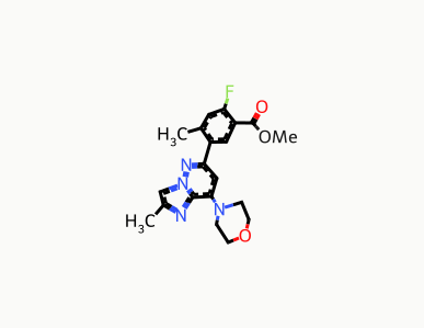 COC(=O)c1cc(-c2cc(N3CCOCC3)c3nc(C)cn3n2)c(C)cc1F